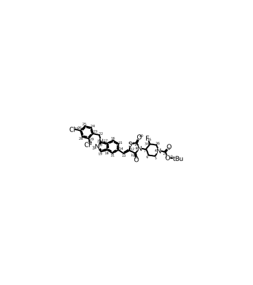 CC(C)(C)OC(=O)N1CCC(N2C(=O)S/C(=C\c3ccc4c(cnn4Cc4ccc(Cl)cc4C(F)(F)F)c3)C2=O)C(F)C1